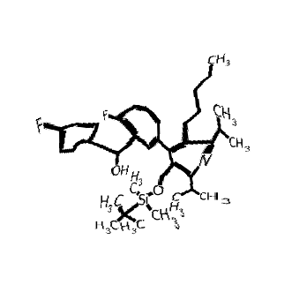 CCCCCc1c(C(C)C)nc(C(C)C)c(CO[Si](C)(C)C(C)(C)C)c1-c1ccc(F)c(C(O)c2ccc(F)cc2)c1